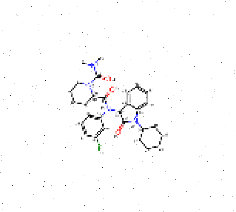 CN(C)C(=O)N1CCCC[C@@H]1C(=O)N(c1cccc(F)c1)[C@@H]1C(=O)N(C2CCCCC2)c2ccccc21